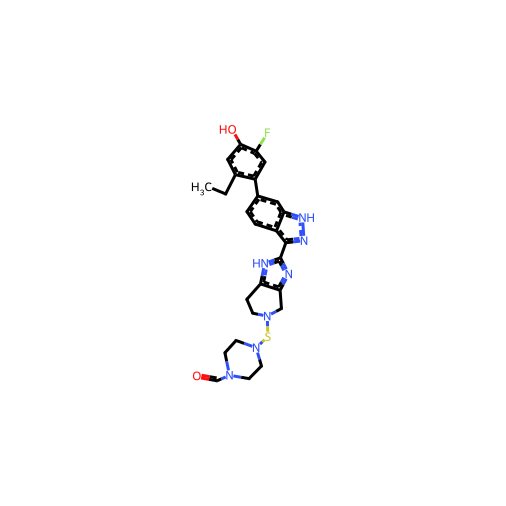 CCc1cc(O)c(F)cc1-c1ccc2c(-c3nc4c([nH]3)CCN(SN3CCN(C=O)CC3)C4)n[nH]c2c1